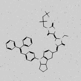 CCC(C)(CN1C(=O)/C(=c2\s/c(=C\C3C=CC4=C(C3)C3CCCC3N4c3ccc(C=C(c4ccccc4)c4ccccc4)cc3)c(=O)n2CC(=O)O)SC1=S)CC(C)(CC)C(=O)O